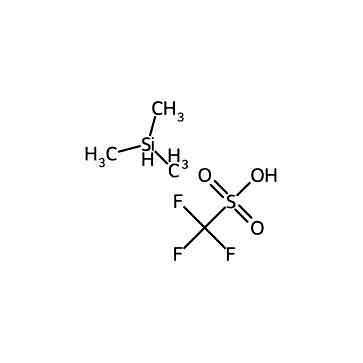 C[SiH](C)C.O=S(=O)(O)C(F)(F)F